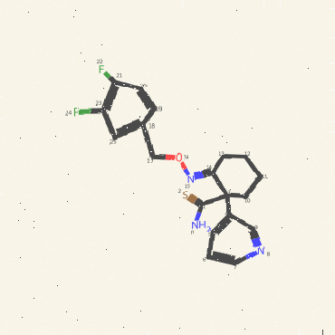 NC(=S)C1(c2cccnc2)CCCCC1=NOCc1ccc(F)c(F)c1